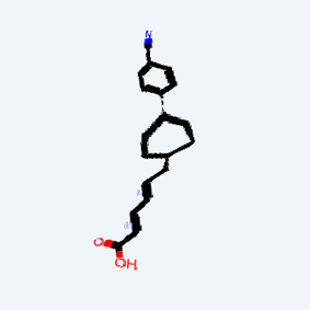 N#Cc1ccc([C@H]2CC[C@H](C/C=C/C=C/C(=O)O)CC2)cc1